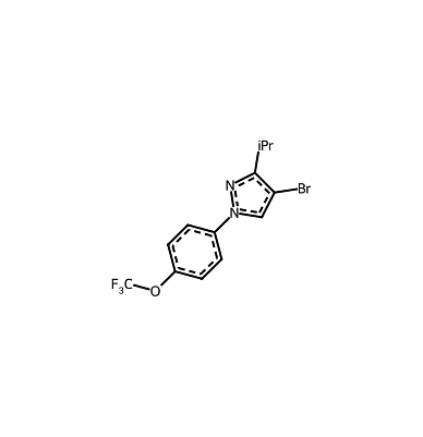 CC(C)c1nn(-c2ccc(OC(F)(F)F)cc2)cc1Br